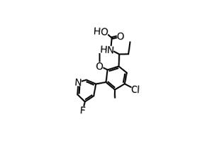 CCC(NC(=O)O)c1cc(Cl)c(C)c(-c2cncc(F)c2)c1OC